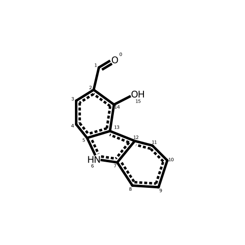 O=Cc1ccc2[nH]c3ccccc3c2c1O